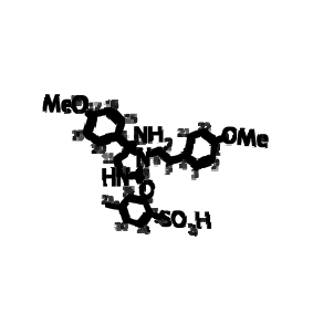 COc1ccc(CCN2C(=O)NCC2(N)c2ccc(OC)cc2)cc1.Cc1ccc(S(=O)(=O)O)cc1